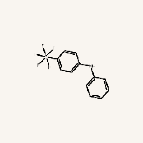 FS(F)(F)(F)(F)c1ccc(Nc2ccccc2)cc1